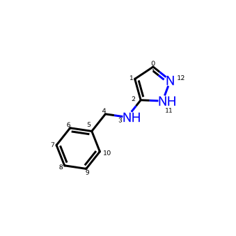 [c]1cc(NCc2ccccc2)[nH]n1